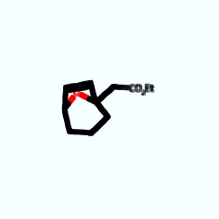 CCOC(=O)CC12C=CC(C[C]C1)O2